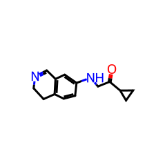 O=C(CNc1ccc2c(c1)C=NCC2)C1CC1